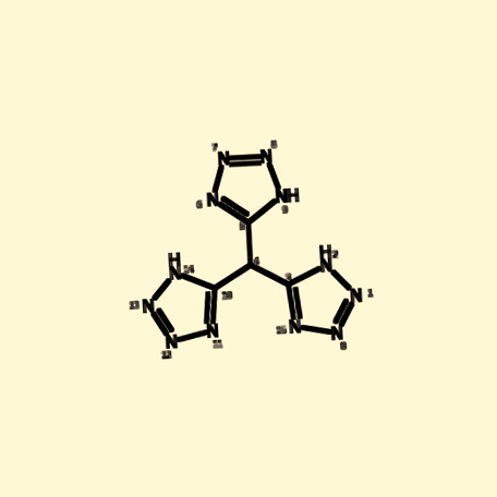 n1n[nH]c(C(c2nnn[nH]2)c2nnn[nH]2)n1